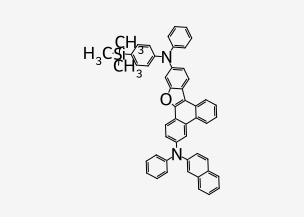 C[Si](C)(C)c1ccc(N(c2ccccc2)c2ccc3c(c2)oc2c4ccc(N(c5ccccc5)c5ccc6ccccc6c5)cc4c4ccccc4c32)cc1